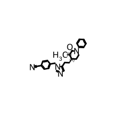 C[C@H]1C(=O)N(c2ccccc2)CC[C@H]1CCc1cncn1Cc1ccc(C#N)cc1